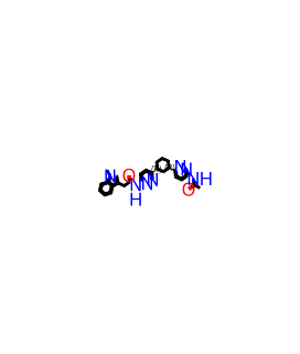 CC(=O)Nc1ccc([C@@H]2CCC[C@@H](c3ccc(NC(=O)Cc4cn(C)c5ccccc45)nn3)C2)nn1